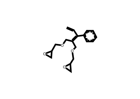 C=CC(=C(COCC1CO1)COCC1CO1)c1ccccc1